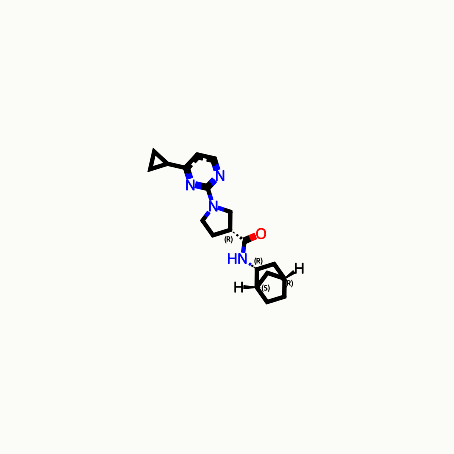 O=C(N[C@@H]1C[C@@H]2CC[C@H]1C2)[C@@H]1CCN(c2nccc(C3CC3)n2)C1